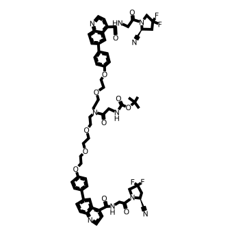 CC(C)(C)OC(=O)NCC(=O)N(CCOCCOCCOc1ccc(-c2ccc3nccc(C(=O)NCC(=O)N4CC(F)(F)C[C@H]4C#N)c3c2)cc1)CCOCCOc1ccc(-c2ccc3nccc(C(=O)NCC(=O)N4CC(F)(F)C[C@H]4C#N)c3c2)cc1